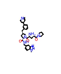 Cn1nnc2cc(CNC(=O)[C@@H]3C[C@@H](Cc4cccc(-c5ccncc5)c4)CN3C(=O)[C@H](N)CCC(=O)N3CCCC3)ccc21